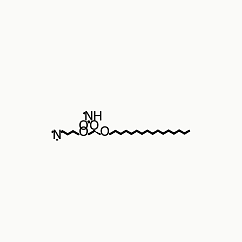 CCCCCCCCCCCCCCCCOC[C@@H](COCCCCN(C)C)OC(=O)NC